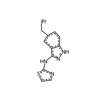 CC(C)Cc1ccc2[nH]nc(Nc3nccs3)c2c1